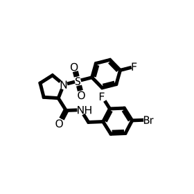 O=C(NCc1ccc(Br)cc1F)C1CCCN1S(=O)(=O)c1ccc(F)cc1